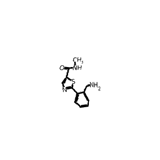 CNC(=O)c1cnc(-c2ccccc2CN)s1